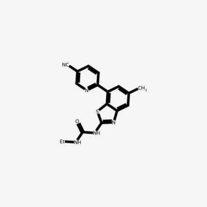 CCNC(=O)Nc1nc2cc(C)cc(-c3ccc(C#N)cn3)c2s1